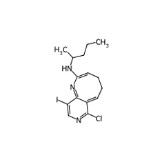 CCCC(C)NC1=C\CC/C=c2/c(Cl)ncc(I)/c2=N/1